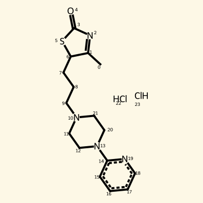 CC1=NC(=O)SC1CCCN1CCN(c2ccccn2)CC1.Cl.Cl